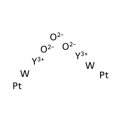 [O-2].[O-2].[O-2].[Pt].[Pt].[W].[W].[Y+3].[Y+3]